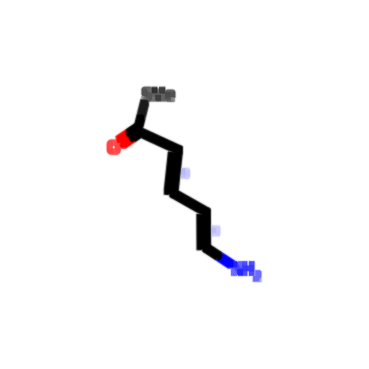 CSC(=O)/C=C/C=C/N